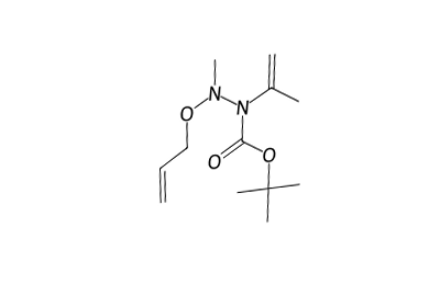 C=CCON(C)N(C(=C)C)C(=O)OC(C)(C)C